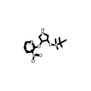 CC(C)(C)[Si](C)(C)OC1CNCC1Oc1ncccc1[N+](=O)[O-]